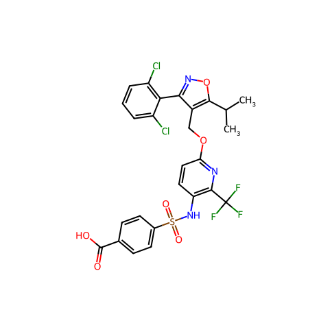 CC(C)c1onc(-c2c(Cl)cccc2Cl)c1COc1ccc(NS(=O)(=O)c2ccc(C(=O)O)cc2)c(C(F)(F)F)n1